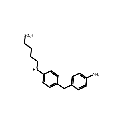 Nc1ccc(Cc2ccc(NCCCCS(=O)(=O)O)cc2)cc1